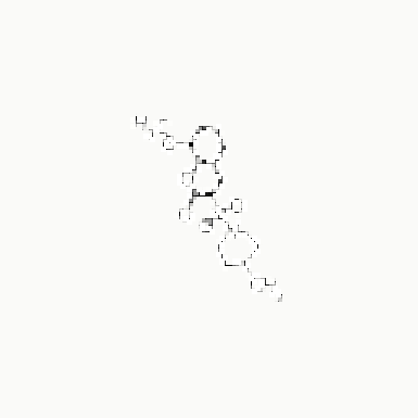 COc1cccc2cc(S(=O)(=O)N3CCC(C)CC3)c(=O)oc12